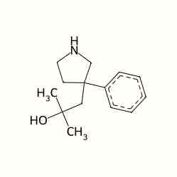 CC(C)(O)CC1(c2ccccc2)CCNC1